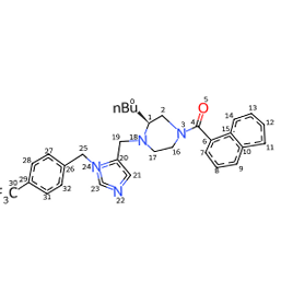 CCCC[C@H]1CN(C(=O)c2cccc3ccccc23)CCN1Cc1cncn1Cc1ccc(C(F)(F)F)cc1